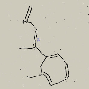 C=N/C=C(\C)c1ccccc1C